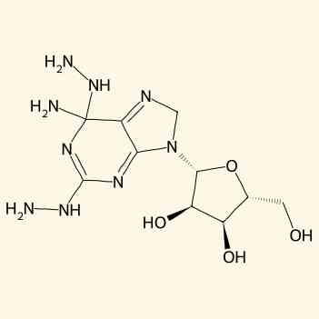 NNC1=NC(N)(NN)C2=NCN([C@@H]3O[C@H](CO)[C@@H](O)[C@H]3O)C2=N1